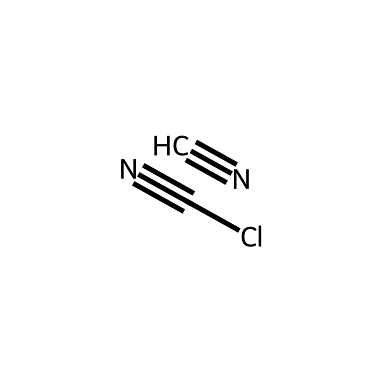 C#N.N#CCl